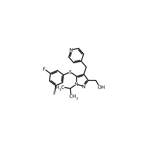 CC(C)n1nc(CO)c(Cc2ccncc2)c1Sc1cc(F)cc(F)c1